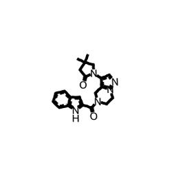 CC1(C)CC(=O)N(c2cnn3c2CN(C(=O)c2cc4ccccc4[nH]2)CC3)C1